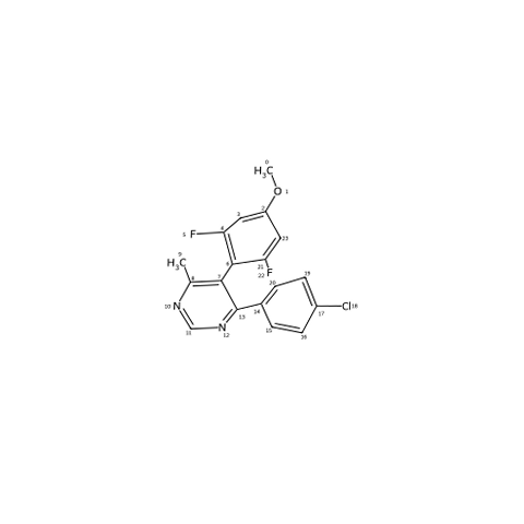 COc1cc(F)c(-c2c(C)ncnc2-c2ccc(Cl)cc2)c(F)c1